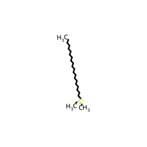 CCCCCCCCCCCCCCCCCCCCCC[S+](CC)CC